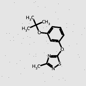 Cc1nsc(Oc2cccc(OC(C)(C)C)c2)n1